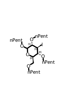 CCCCCOC[C@H]1OC(OCCCCC)[C@H](OCCCCC)[C@@H](I)[C@@H]1OCCCCC